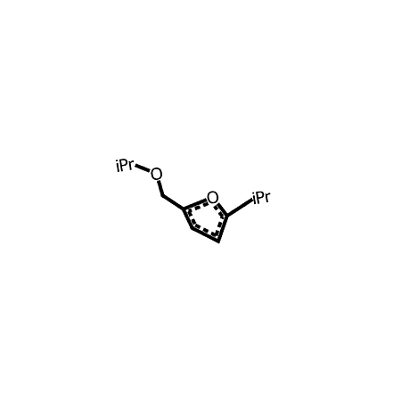 CC(C)OCc1ccc(C(C)C)o1